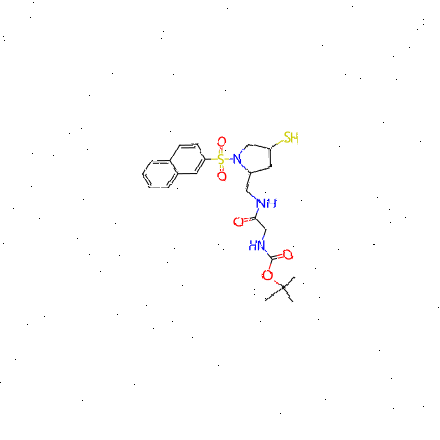 CC(C)(C)OC(=O)NCC(=O)NCC1CC(S)CN1S(=O)(=O)c1ccc2ccccc2c1